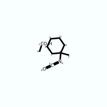 CC(=O)O.CC1(N=C=O)CCCCC1